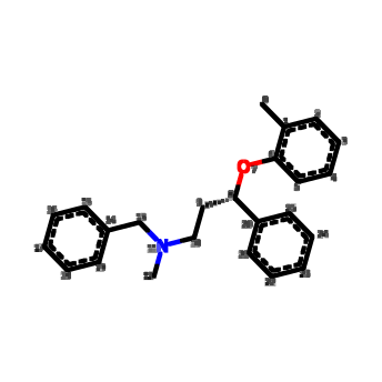 Cc1ccccc1O[C@@H](CCN(C)Cc1ccccc1)c1ccccc1